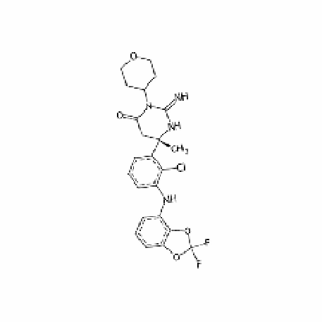 C[C@@]1(c2cccc(Nc3cccc4c3OC(F)(F)O4)c2Cl)CC(=O)N(C2CCOCC2)C(=N)N1